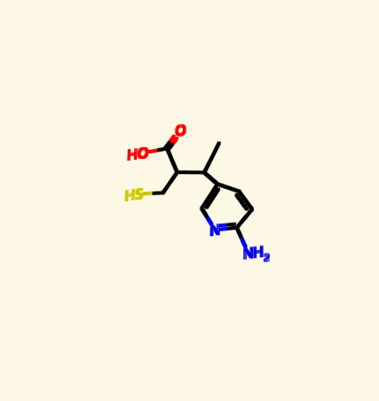 CC(c1ccc(N)nc1)C(CS)C(=O)O